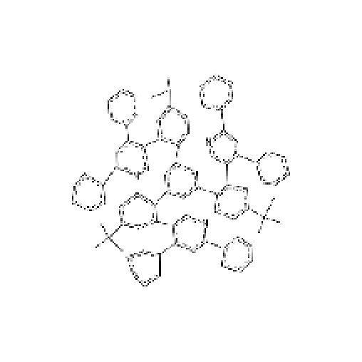 CC(C)(C)c1ccc(-c2cc(-c3ccc(C(C)(C)C)cc3-c3cnc(-c4ccccc4)cc3-c3ccccc3)cc(-c3ccc(C(C)(C)C)cc3-c3cnc(-c4ccccc4)cc3-c3ccccc3)c2)c(-c2cnc(-c3ccccc3)cc2-c2ccccc2)c1